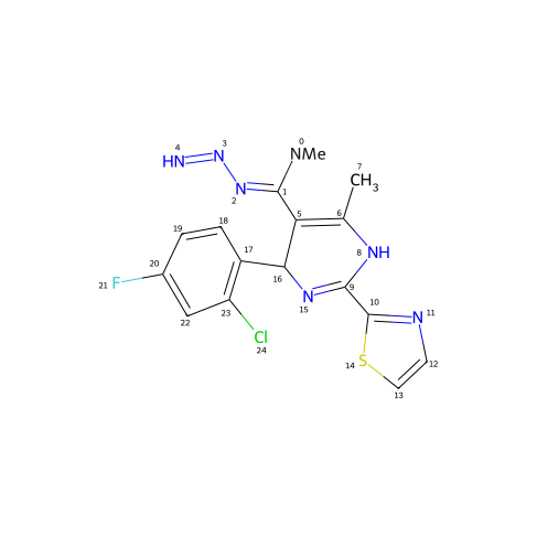 CN/C(=N\N=N)C1=C(C)NC(c2nccs2)=NC1c1ccc(F)cc1Cl